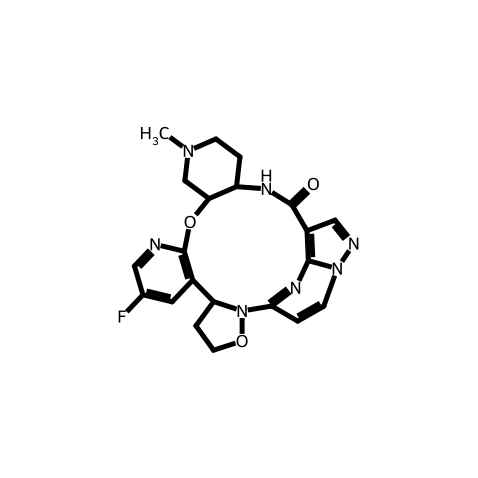 CN1CCC2NC(=O)c3cnn4ccc(nc34)N3OCCC3c3cc(F)cnc3OC2C1